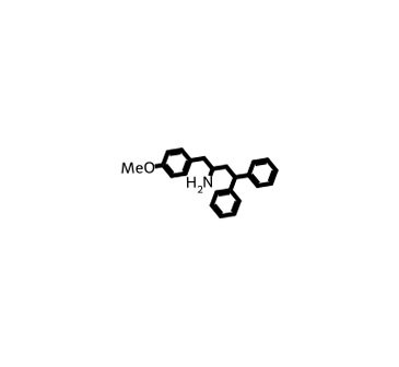 COc1ccc(CC(N)CC(c2ccccc2)c2ccccc2)cc1